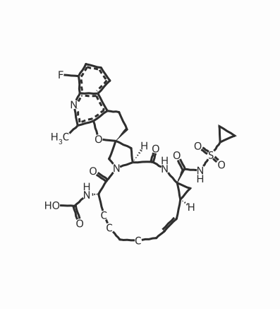 Cc1nc2c(F)cccc2c2c1O[C@]1(CC2)C[C@H]2C(=O)N[C@]3(C(=O)NS(=O)(=O)C4CC4)C[C@H]3C=CCCCCC[C@H](NC(=O)O)C(=O)N2C1